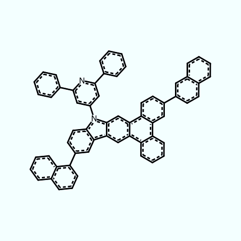 c1ccc(-c2cc(-n3c4ccc(-c5cccc6ccccc56)cc4c4cc5c6ccccc6c6cc(-c7ccc8ccccc8c7)ccc6c5cc43)cc(-c3ccccc3)n2)cc1